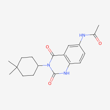 CC(=O)Nc1ccc2[nH]c(=O)n(C3CCC(C)(C)CC3)c(=O)c2c1